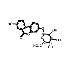 O=C(O)[C@H]1O[C@@H](Oc2ccc3c(c2)oc(=O)c2cc(O)ccc23)[C@H](O)[C@@H](O)[C@@H]1O